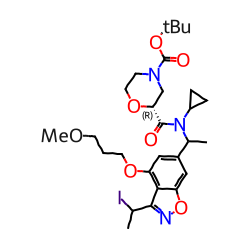 COCCCOc1cc(C(C)N(C(=O)[C@H]2CN(C(=O)OC(C)(C)C)CCO2)C2CC2)cc2onc(C(C)I)c12